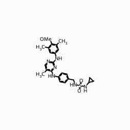 COc1c(C)cc(Nc2ncc(C)c(Nc3ccc(CNS(=O)(=O)NC4CC4)cc3)n2)cc1C